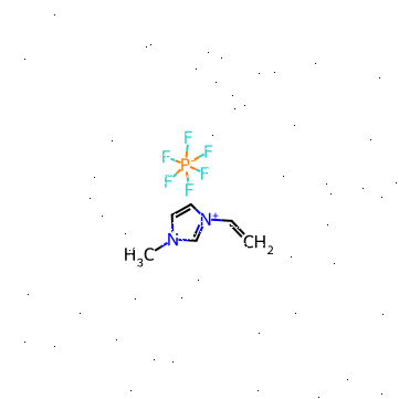 C=C[n+]1ccn(C)c1.F[P-](F)(F)(F)(F)F